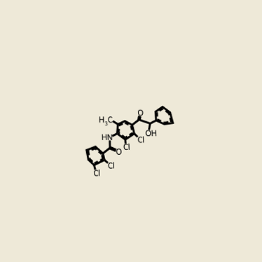 Cc1cc(C(=O)C(O)c2ccccc2)c(Cl)c(Cl)c1NC(=O)c1cccc(Cl)c1Cl